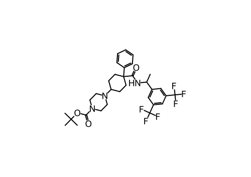 CC(NC(=O)C1(c2ccccc2)CCC(N2CCN(C(=O)OC(C)(C)C)CC2)CC1)c1cc(C(F)(F)F)cc(C(F)(F)F)c1